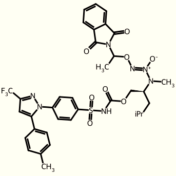 Cc1ccc(-c2cc(C(F)(F)F)nn2-c2ccc(S(=O)(=O)NC(=O)OC[C@H](CC(C)C)N(C)/[N+]([O-])=N/OC(C)N3C(=O)c4ccccc4C3=O)cc2)cc1